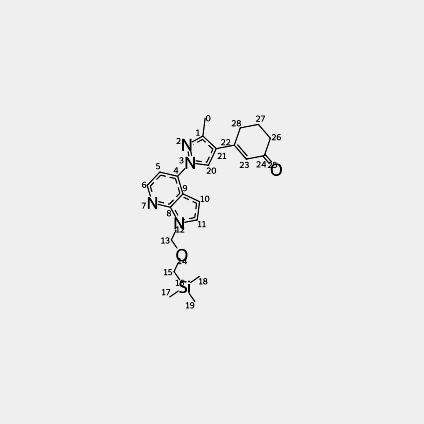 Cc1nn(-c2ccnc3c2ccn3COC[Si](C)(C)C)cc1C1=CC(=O)CCC1